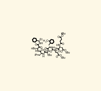 CCCC[C@H](NC(=O)[C@H](CC(C)C)NC(=O)[C@@H](NC(=O)[C@H](Cc1ccccc1C)NC(=O)[C@H](CCC(=O)OC(C)(C)C)NC(=O)[C@H](CC(=O)OC(C)(C)C)NC(=O)CCC(=O)OC(C)(C)C)C(C)(C)C)C(=O)C(=O)N[C@@H](CC)c1ccccc1